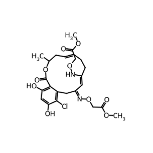 COC(=O)CO/N=C1\C=C(/NOCC(=O)OC)CC/C=C/CC(C)OC(=O)c2c(O)cc(O)c(Cl)c2C1